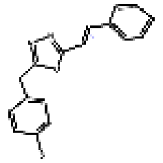 Brc1ccc(Cc2nnc(/C=C/c3ccccc3)o2)cc1